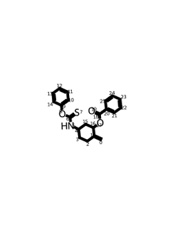 C=C1CCC(NC(=S)Oc2ccccc2)CC1OC(=O)c1ccccc1